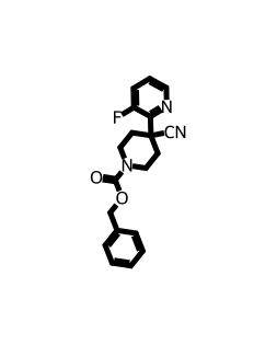 N#CC1(c2ncccc2F)CCN(C(=O)OCc2ccccc2)CC1